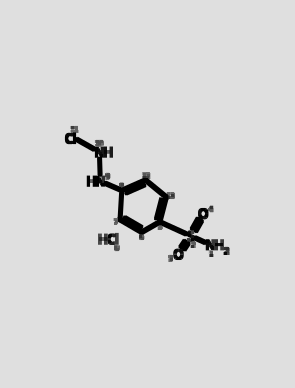 Cl.NS(=O)(=O)c1ccc(NNCl)cc1